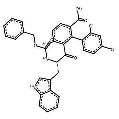 Nc1ccc(C(=O)O)c(-c2ccc(Cl)cc2Cl)c1C(=O)[C@H](Cc1c[nH]c2ccccc12)NC(=O)OCc1ccccc1